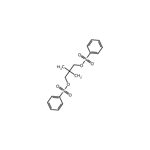 [CH2]C([CH2])(COS(=O)(=O)c1ccccc1)COS(=O)(=O)c1ccccc1